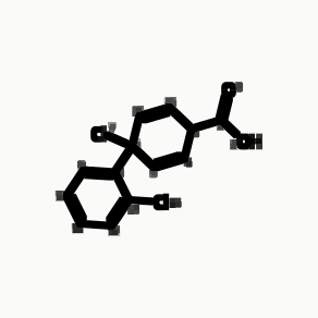 O=C(O)C1C=CC(Cl)(c2ccccc2Cl)C=C1